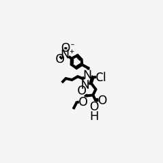 CCCCc1nc(CC(C(=O)O)C(=O)OCC)c(Cl)n1Cc1ccc([N+](=O)[O-])cc1